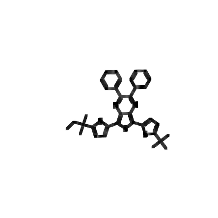 CCC(C)(C)c1ccc(-c2sc(-c3ccc(C(C)(C)C)s3)c3nc(-c4ccccc4)c(-c4ccccc4)nc23)s1